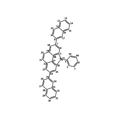 c1ccc(-n2c3cc(-c4ccc5ccccc5c4)cc4ccc5cc(-c6ccc7ccccc7c6)cc2c5c43)cc1